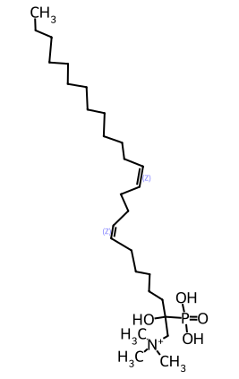 CCCCCCCCCCCC/C=C\CC/C=C\CCCCCC(O)(C[N+](C)(C)C)P(=O)(O)O